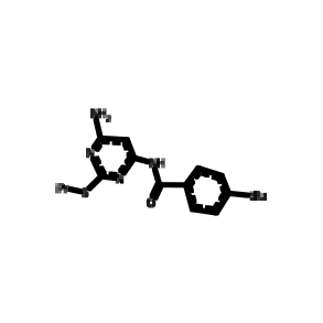 CC(C)Sc1nc(N)cc(NC(=O)c2ccc(C(C)(C)C)cc2)n1